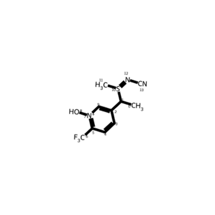 CC(c1ccc(C(F)(F)F)[n+](O)c1)/S(C)=N\C#N